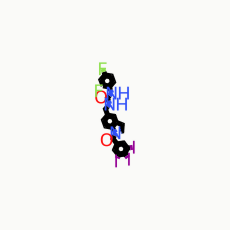 O=C(NCc1ccc2c(c1)CCN2C(=O)c1cc(I)c(I)c(I)c1)Nc1ccc(F)cc1F